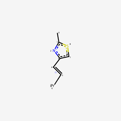 Cc1nc(/C=C/C(C)C)cs1